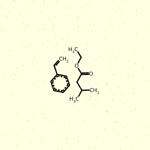 C=Cc1ccccc1.CCOC(=O)CC(C)C